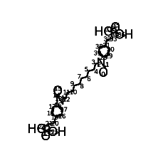 O=CN(CCCCCCCCCCN(C=O)c1ccc(CCP(=O)(O)O)cc1)c1ccc(CCP(=O)(O)O)cc1